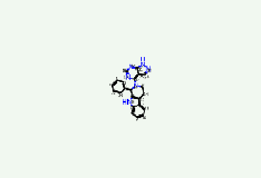 c1ccc(C2c3[nH]c4ccccc4c3CCN2c2ncnc3[nH]ncc23)cc1